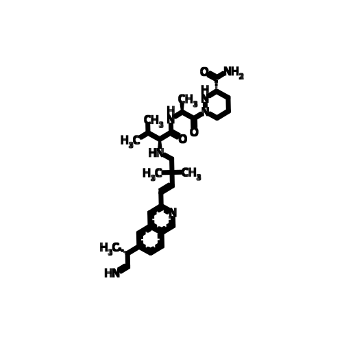 CC(C)[C@H](NCC(C)(C)/C=C/c1cc2cc([C@@H](C)C=N)ccc2cn1)C(=O)N[C@@H](C)C(=O)N1CCC[C@@H](C(N)=O)N1